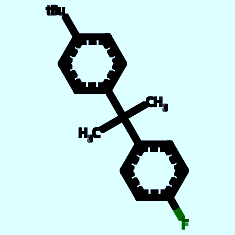 CC(C)(C)c1ccc(C(C)(C)c2ccc(F)cc2)cc1